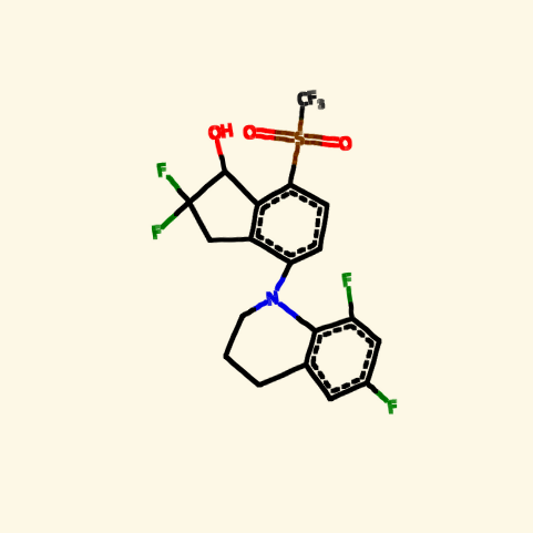 O=S(=O)(c1ccc(N2CCCc3cc(F)cc(F)c32)c2c1C(O)C(F)(F)C2)C(F)(F)F